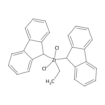 C[CH2][Zr]([Cl])([Cl])([CH]1c2ccccc2-c2ccccc21)[CH]1c2ccccc2-c2ccccc21